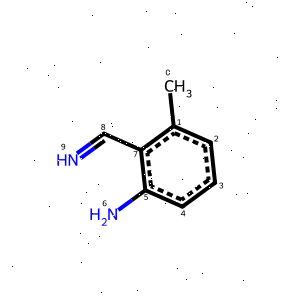 Cc1cccc(N)c1C=N